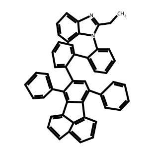 CCc1nc2ccccc2n1-c1ccccc1-c1ccccc1-c1cc(-c2ccccc2)c2c(c1-c1ccccc1)-c1cccc3cccc-2c13